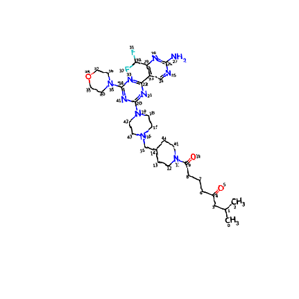 CC(C)CC(=O)CCCC(=O)N1CCC(CN2CCN(c3nc(-c4cnc(N)nc4C(F)F)nc(N4CCOCC4)n3)CC2)CC1